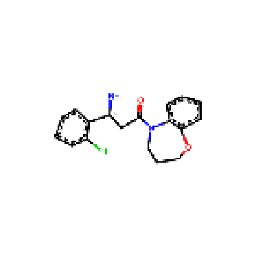 N[C@@H](CC(=O)N1CCCOc2ccccc21)c1ccccc1Cl